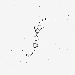 C=CCCc1ccc(C2CCC(OCC3CCC(CCCC)CC3(F)F)CC2)cc1